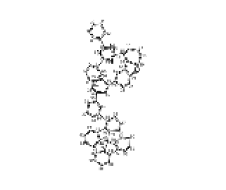 c1ccc(-c2nc(-c3ccccc3)nc(-c3cccc4oc5ccc(-c6cccc(-c7cccc(-c8cccc9c8-c8ccccc8C98c9ccccc9-c9ccccc98)c7)c6)cc5c34)n2)cc1